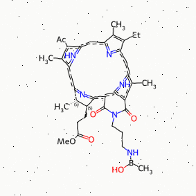 CCC1=C(C)c2cc3[nH]c(cc4nc(c5c6[nH]c(cc1n2)c(C)c6C(=O)N(CCCNB(C)O)C5=O)[C@@H](CCC(=O)OC)[C@@H]4C)c(C)c3C(C)=O